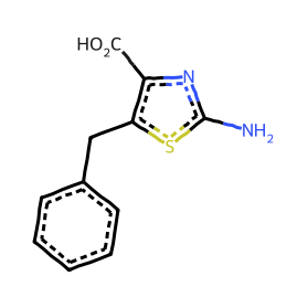 Nc1nc(C(=O)O)c(Cc2ccccc2)s1